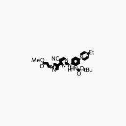 CCN1CCN(c2ccc(Nc3ncc(C#N)c(-c4cnn(CCC(=O)OC)c4)n3)c(NC(=O)OC(C)(C)C)c2)CC1